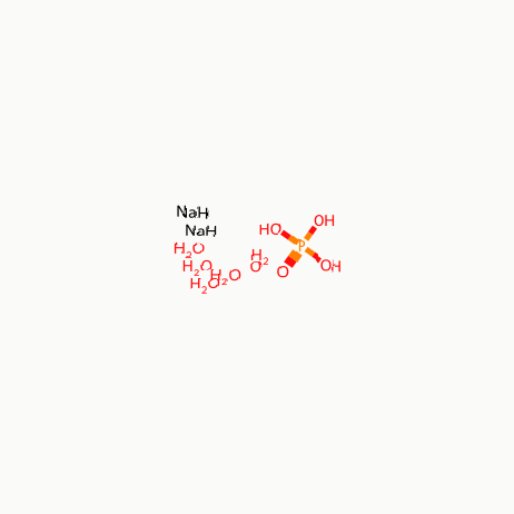 O.O.O.O.O.O=P(O)(O)O.[NaH].[NaH]